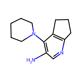 Nc1cnc2c(c1N1CCCCC1)CCC2